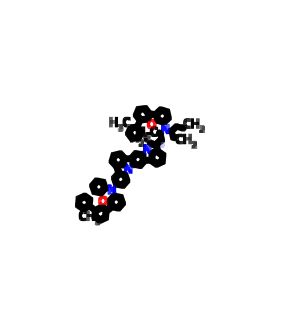 C=CCC(C=C)N(C(=C)/C=c1\c(=C)n2c3cc4c5cccc6c7cc(N(c8ccccc8)c8cccc9c8oc8c(-c%10ccccc%10C)cccc89)ccc7n(c4cc3c3cccc1c32)c65)c1cccc2c1oc1c(-c3ccccc3C)cccc12